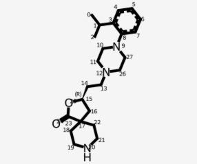 CC(C)c1ccccc1N1CCN(CC[C@H]2CC3(CCNCC3)C(=O)O2)CC1